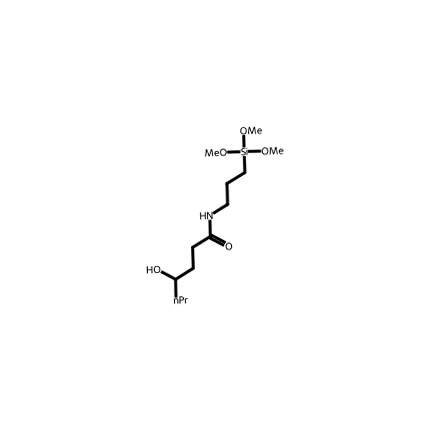 CCCC(O)CCC(=O)NCCC[Si](OC)(OC)OC